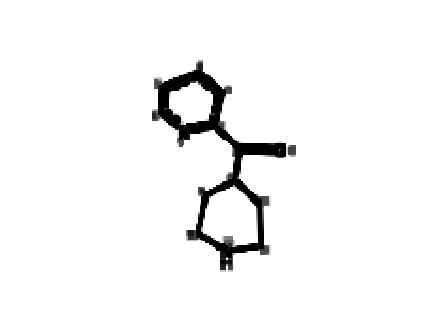 O=C(c1ccccn1)C1CCNCC1